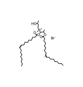 CCCCCCCC/C=C\CCCCCCCC(=O)OC(C)C(OC(=O)CCCCCCC/C=C\CCCCCCCC)[N+](C)(C)CCC(C)O.[Br-]